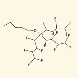 CCCCC[O][Sn]([CH](F)C(F)C(F)C(F)F)([CH](F)C(F)C(F)C(F)F)[CH](F)C(F)C(F)C(F)F